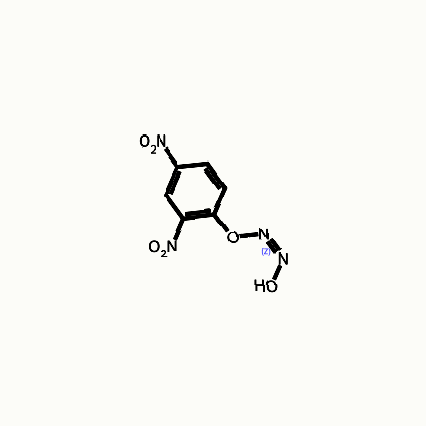 O=[N+]([O-])c1ccc(O/N=N\O)c([N+](=O)[O-])c1